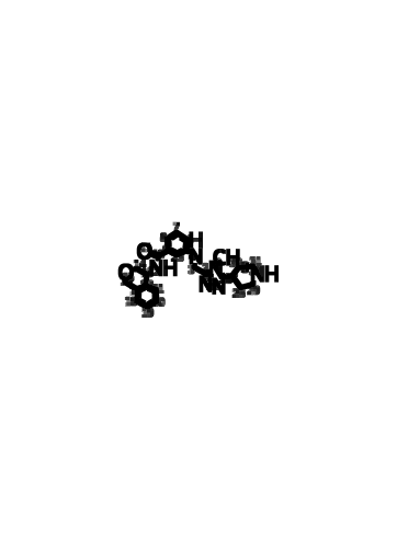 Cn1c(CNc2cccc(C(=O)N[C@@H]3COCc4ccccc43)c2)nnc1C1CCNCC1